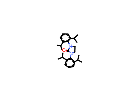 CC(C)c1cccc(C(C)C)c1N1CCN(c2c(C(C)C)cccc2C(C)C)C1=O